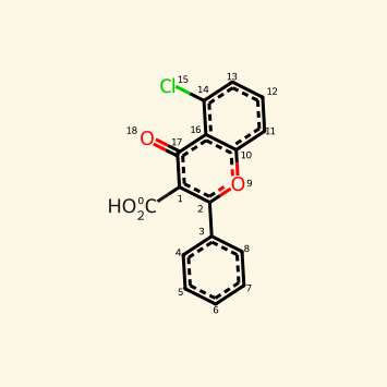 O=C(O)c1c(-c2ccccc2)oc2cccc(Cl)c2c1=O